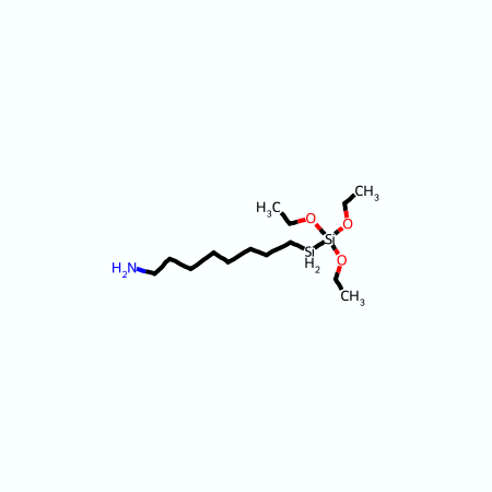 CCO[Si](OCC)(OCC)[SiH2]CCCCCCCCN